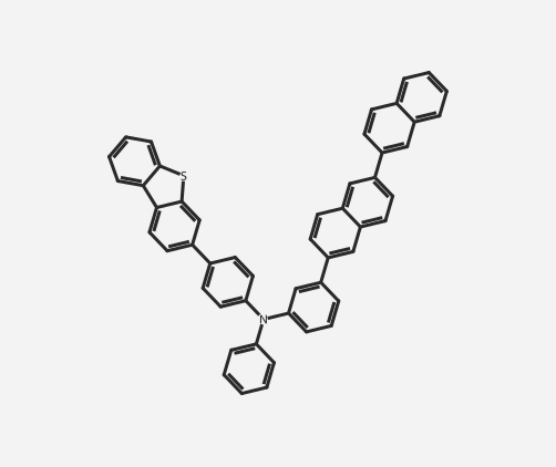 c1ccc(N(c2ccc(-c3ccc4c(c3)sc3ccccc34)cc2)c2cccc(-c3ccc4cc(-c5ccc6ccccc6c5)ccc4c3)c2)cc1